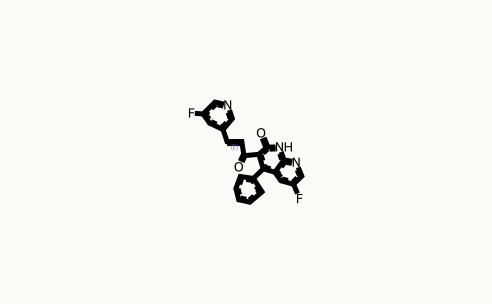 O=C(/C=C/c1cncc(F)c1)c1c(-c2ccccc2)c2cc(F)cnc2[nH]c1=O